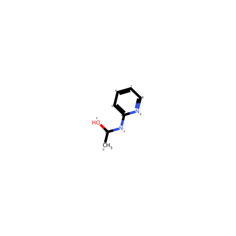 CC(O)[N]c1ccccn1